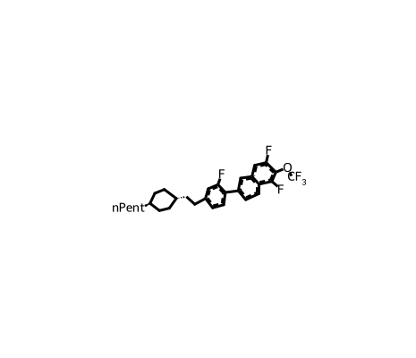 CCCCC[C@H]1CC[C@H](CCc2ccc(-c3ccc4c(F)c(OC(F)(F)F)c(F)cc4c3)c(F)c2)CC1